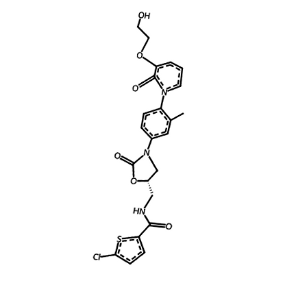 Cc1cc(N2C[C@H](CNC(=O)c3ccc(Cl)s3)OC2=O)ccc1-n1cccc(OCCO)c1=O